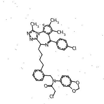 Cc1sc2c(c1C)C(c1ccc(Cl)cc1)=NC(CCCCc1ccccc1CN(C(=O)CCl)c1ccc3c(c1)OCO3)c1nnc(C)n1-2